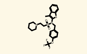 Cc1c(N(Cc2ccc(OC(F)(F)F)cc2)S(=O)(=O)CCN2CCCCC2)sc2ccccc12